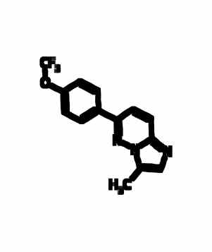 Cc1cnc2ccc(-c3ccc(OC(F)(F)F)cc3)nn12